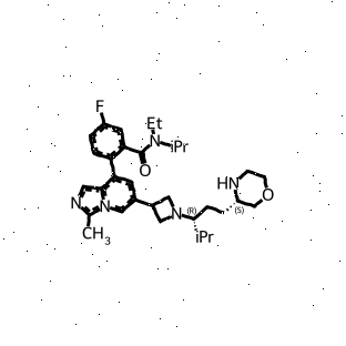 CCN(C(=O)c1cc(F)ccc1-c1cc(C2CN([C@H](CC[C@H]3COCCN3)C(C)C)C2)cn2c(C)ncc12)C(C)C